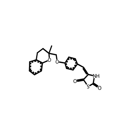 CC1(COc2ccc(C=C3NC(=O)SC3=O)cc2)CCc2ccccc2O1